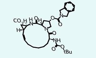 CC(C)(C)OC(=O)N[C@H]1CCCCCC=C[C@@H]2C[C@@]2(C(=O)O)NC(=O)[C@@H]2C[C@@H](OC(=O)N3Cc4ccccc4C3)CN2C1=O